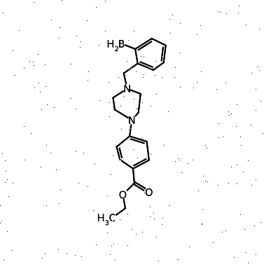 Bc1ccccc1CN1CCN(c2ccc(C(=O)OCC)cc2)CC1